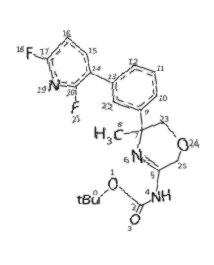 CC(C)(C)OC(=O)NC1=NC(C)(c2cccc(-c3ccc(F)nc3F)c2)COC1